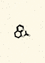 CC(=O)O.c1cnc2c(c1)CCCC2